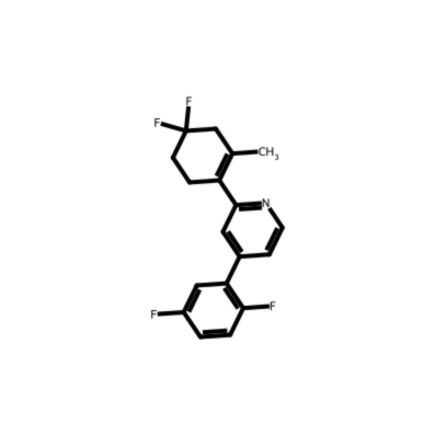 CC1=C(c2cc(-c3cc(F)ccc3F)ccn2)CCC(F)(F)C1